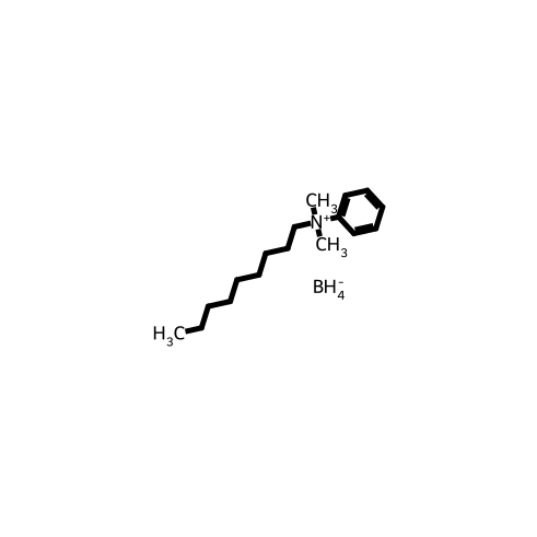 CCCCCCCCC[N+](C)(C)c1ccccc1.[BH4-]